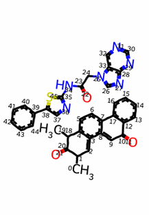 CC1C=c2c(ccc3c2=CC(=O)c2ccccc2-3)C(C)C1=O.O=C(Cn1cnc2ncncc21)Nc1ncc(-c2ccccc2)s1